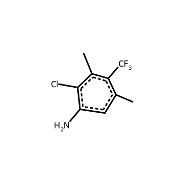 Cc1cc(N)c(Cl)c(C)c1C(F)(F)F